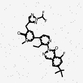 CCc1c(-c2cc(Cc3cnn(C(F)F)n3)c(=O)n(C)c2)ccnc1-n1ncc2cc(C(C)(C)C)cc(F)c2c1=O